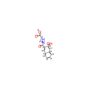 COC(=O)CCNC(=O)c1cc2ccccc2cc1O